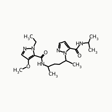 CCn1ncc(OC)c1C(=O)NC(C)CCC(C)n1nccc1C(=O)NC(C)C